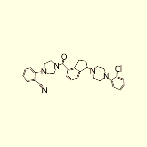 N#Cc1ccccc1N1CCN(C(=O)c2cccc3c2CCC3N2CCN(c3ccccc3Cl)CC2)CC1